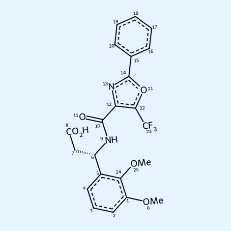 COc1cccc([C@H](CC(=O)O)NC(=O)c2nc(-c3ccccc3)oc2C(F)(F)F)c1OC